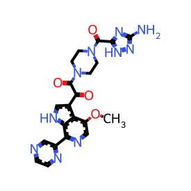 COc1cnc(-c2cnccn2)c2[nH]cc(C(=O)C(=O)N3CCN(C(=O)c4nc(N)n[nH]4)CC3)c12